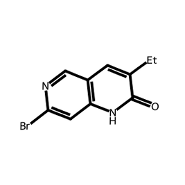 CCc1cc2cnc(Br)cc2[nH]c1=O